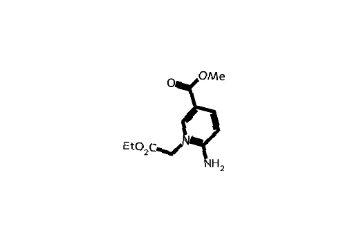 CCOC(=O)C[n+]1cc(C(=O)OC)ccc1N